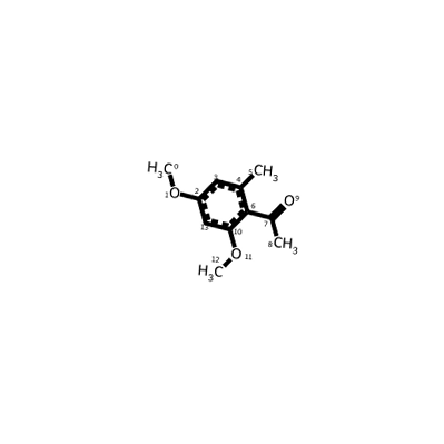 COc1cc(C)c(C(C)=O)c(OC)c1